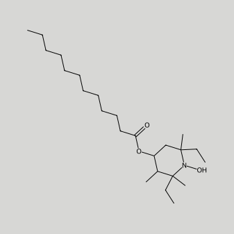 CCCCCCCCCCCC(=O)OC1CC(C)(CC)N(O)C(C)(CC)C1C